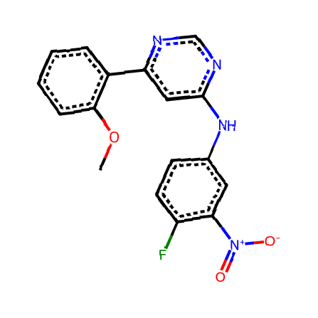 COc1ccccc1-c1cc(Nc2ccc(F)c([N+](=O)[O-])c2)ncn1